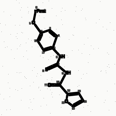 CCCCCOc1ccc(NC(=S)NC(=O)c2ccco2)cc1